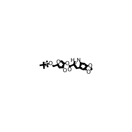 C/C(=C\c1cc2c(cc1N)OCO2)C(=O)Oc1coc(CO[Si](C)(C)C(C)(C)C)cc1=O